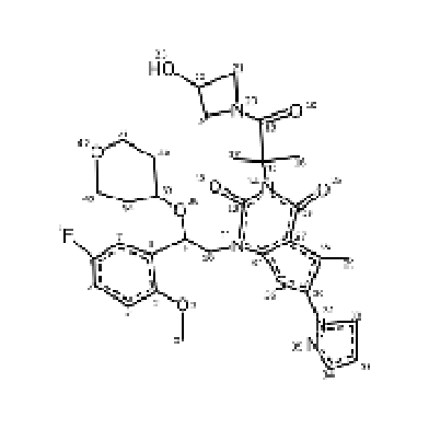 COc1ccc(F)cc1C(Cn1c(=O)n(C(C)(C)C(=O)N2CC(O)C2)c(=O)c2c(C)c(-n3cccn3)sc21)OC1CCOCC1